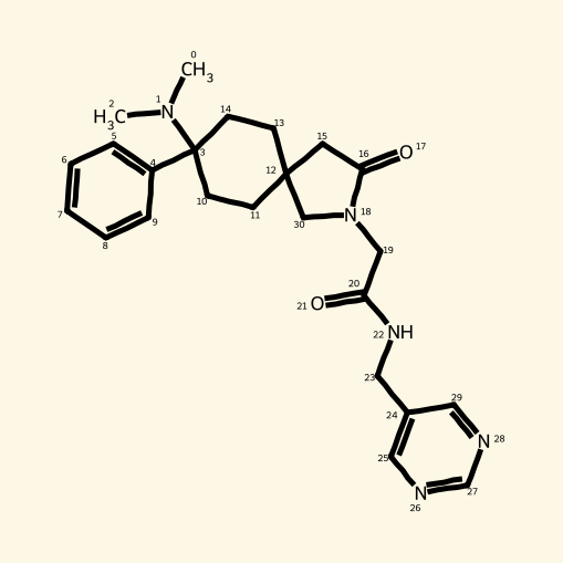 CN(C)C1(c2ccccc2)CCC2(CC1)CC(=O)N(CC(=O)NCc1cncnc1)C2